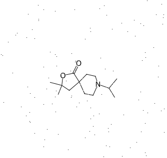 CC(C)N1CCC2(CC1)CC(C)(C)OC2=O